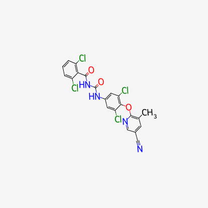 Cc1cc(C#N)cnc1Oc1c(Cl)cc(NC(=O)NC(=O)c2c(Cl)cccc2Cl)cc1Cl